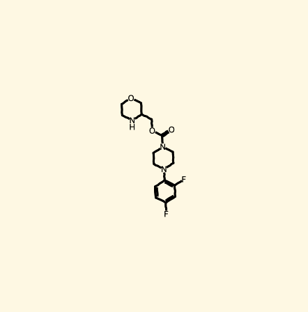 O=C(OCC1COCCN1)N1CCN(c2ccc(F)cc2F)CC1